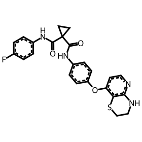 O=C(Nc1ccc(F)cc1)C1(C(=O)Nc2ccc(Oc3ccnc4c3SCCN4)cc2)CC1